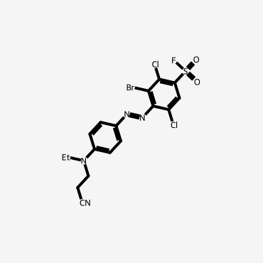 CCN(CCC#N)c1ccc(N=Nc2c(Cl)cc(S(=O)(=O)F)c(Cl)c2Br)cc1